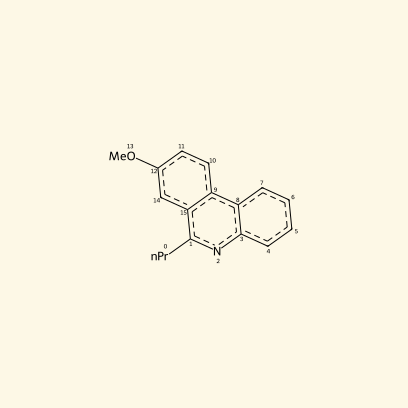 CCCc1nc2ccccc2c2ccc(OC)cc12